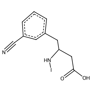 N#Cc1cccc(CC(CC(=O)O)NI)c1